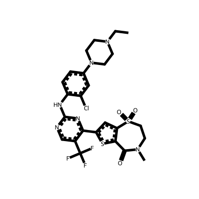 CCN1CCN(c2ccc(Nc3ncc(C(F)(F)F)c(-c4cc5c(s4)C(=O)N(C)CCS5(=O)=O)n3)c(Cl)c2)CC1